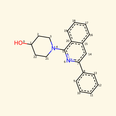 OC1CCN(c2nc(-c3ccccc3)cc3ccccc23)CC1